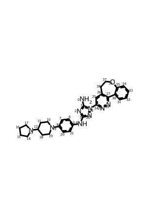 Nc1nc(Nc2ccc(N3CCC(N4CCCC4)CC3)cc2)nn1-c1cc2c(nn1)-c1ccccc1OCC2